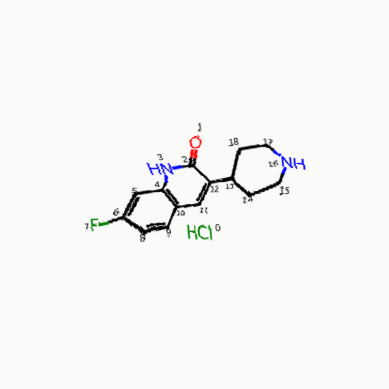 Cl.O=c1[nH]c2cc(F)ccc2cc1C1CCNCC1